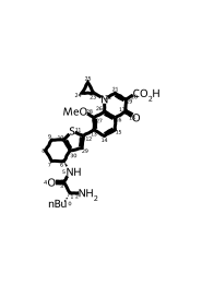 CCCC[C@@H](N)C(=O)N[C@@H]1CCCc2sc(-c3ccc4c(=O)c(C(=O)O)cn(C5CC5)c4c3OC)cc21